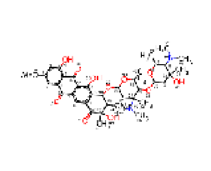 COc1cc(O)c2c(c1)C(=O)c1cc3c(c(O)c1C2=O)C(OC1CC(C)(N(C)C)C(OC2CC(C)(O)C(N(C)C)C(C)O2)C(C)O1)C(OC)C(C)(O)C3=O